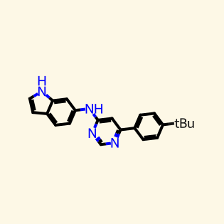 CC(C)(C)c1ccc(-c2cc(Nc3ccc4cc[nH]c4c3)ncn2)cc1